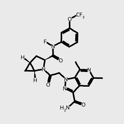 Cc1cc2c(C(N)=O)nn(CC(=O)N3[C@@H]4C[C@@H]4C[C@H]3C(=O)N(F)c3cccc(OC(F)(F)F)c3)c2c(C)n1